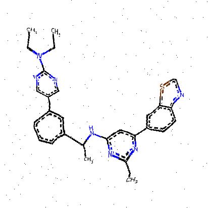 CCN(CC)c1ncc(-c2cccc(C(C)Nc3cc(-c4ccc5ncsc5c4)nc(C)n3)c2)cn1